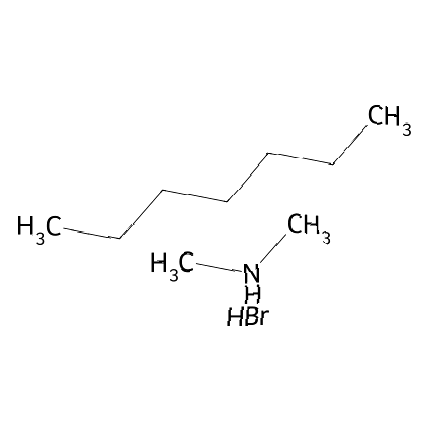 Br.CCCCCCC.CNC